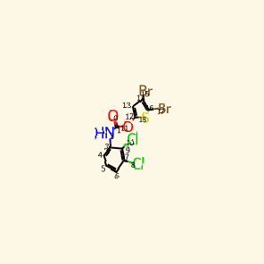 O=C(Nc1cccc(Cl)c1Cl)Oc1cc(Br)c(Br)s1